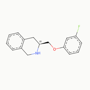 Fc1cccc(OC[C@@H]2Cc3ccccc3CN2)c1